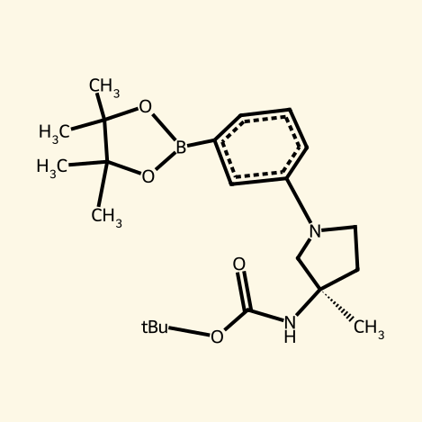 CC(C)(C)OC(=O)N[C@]1(C)CCN(c2cccc(B3OC(C)(C)C(C)(C)O3)c2)C1